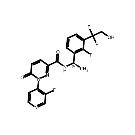 C[C@@H](NC(=O)c1ccc(=O)n(-c2ccncc2F)n1)c1cccc(C(F)(F)CO)c1F